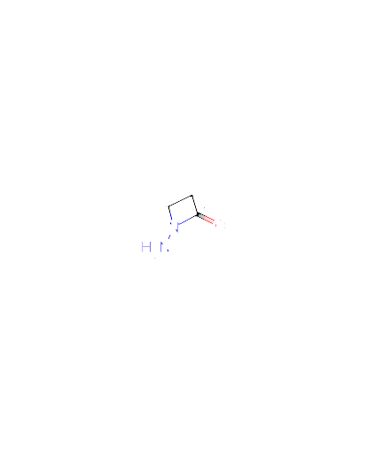 NN1CCC1=O